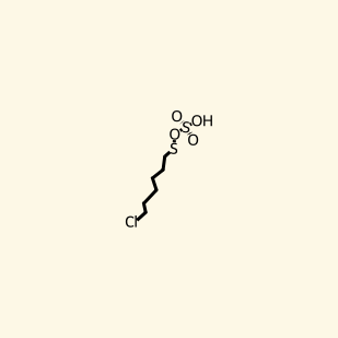 O=S(=O)(O)OSCCCCCCCl